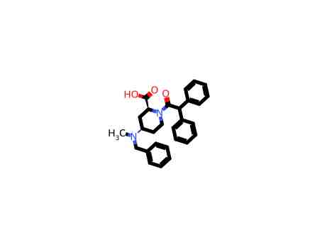 CN(Cc1ccccc1)[C@H]1CCN(C(=O)C(c2ccccc2)c2ccccc2)[C@H](C(=O)O)C1